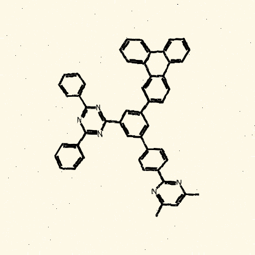 Cc1cc(C)nc(-c2ccc(-c3cc(-c4ccc5c6ccccc6c6ccccc6c5c4)cc(-c4nc(-c5ccccc5)nc(-c5ccccc5)n4)c3)cc2)n1